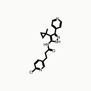 CC1(c2c(-c3ccncc3)n[nH]c2NC(=O)CCc2ccc(Cl)nc2)CC1